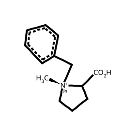 C[N@+]1(Cc2ccccc2)CCCC1C(=O)O